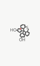 Oc1ccc(C2(c3ccc(O)cc3)c3ccccc3CSc3ccccc32)cc1